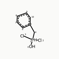 O[PH](Cl)(Cl)Cc1ccccc1